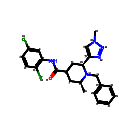 C[C@H]1CC(C(=O)Nc2cc(Cl)ccc2Br)C[C@@H](c2cn(C)nn2)N1Cc1ccccc1